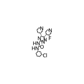 O=C(Nc1cccc(Cl)c1)Nc1nnc(-c2ccncc2F)c(-c2cccnc2)n1